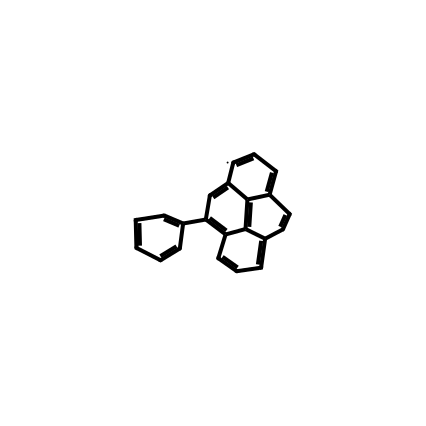 [c]1ccc2ccc3cccc4c(-c5ccccc5)cc1c2c34